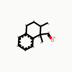 CC1CCc2ccccc2C1(C)C=O